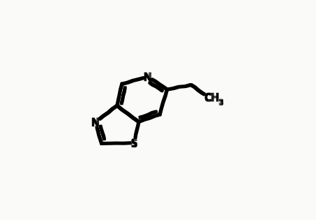 CCc1cc2scnc2cn1